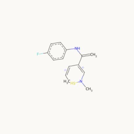 C=C(Nc1ccc(F)cc1)C(/C=C\C)=C/N(C)S